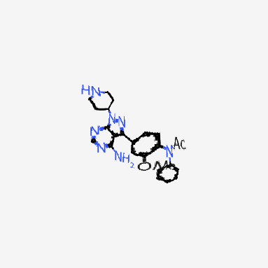 COc1cc(-c2nn(C3CCNCC3)c3ncnc(N)c23)ccc1N(C(C)=O)c1ccccc1